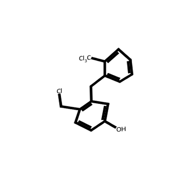 Oc1ccc(CCl)c(Cc2ccccc2C(Cl)(Cl)Cl)c1